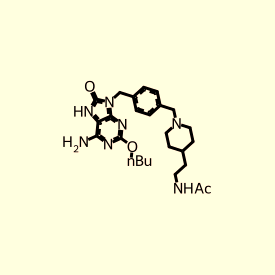 CCCCOc1nc(N)c2[nH]c(=O)n(Cc3ccc(CN4CCC(CCNC(C)=O)CC4)cc3)c2n1